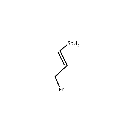 CCCC=[CH][SbH2]